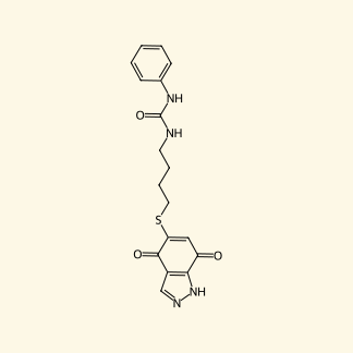 O=C(NCCCCSC1=CC(=O)c2[nH]ncc2C1=O)Nc1ccccc1